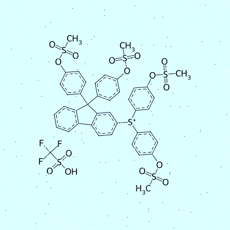 CS(=O)(=O)Oc1ccc([S+](c2ccc(OS(C)(=O)=O)cc2)c2ccc3c(c2)C(c2ccc(OS(C)(=O)=O)cc2)(c2ccc(OS(C)(=O)=O)cc2)c2ccccc2-3)cc1.O=S(=O)(O)C(F)(F)F